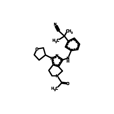 CC(=O)N1CCc2c(c(Nc3cccc(C(C)(C)C#N)c3)nn2C2CCOC2)C1